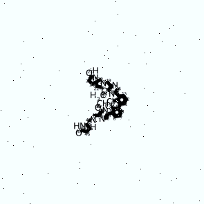 COc1nc(-c2cccc(-c3cccc(-c4cnc(CN5CCC6(CCC(=O)N6)C5)c(OC)n4)c3Cl)c2Cl)cnc1CNC[C@H]1CCC(=O)N1